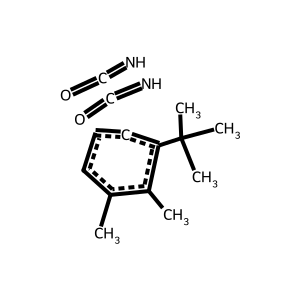 Cc1cccc(C(C)(C)C)c1C.N=C=O.N=C=O